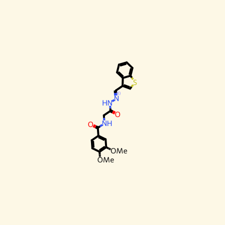 COc1ccc(C(=O)NCC(=O)N/N=C/c2csc3ccccc23)cc1OC